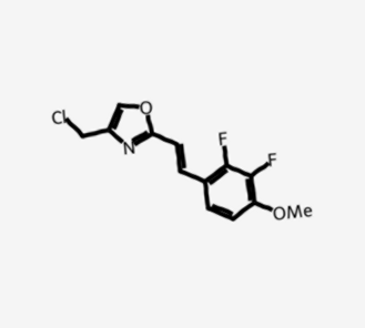 COc1ccc(C=Cc2nc(CCl)co2)c(F)c1F